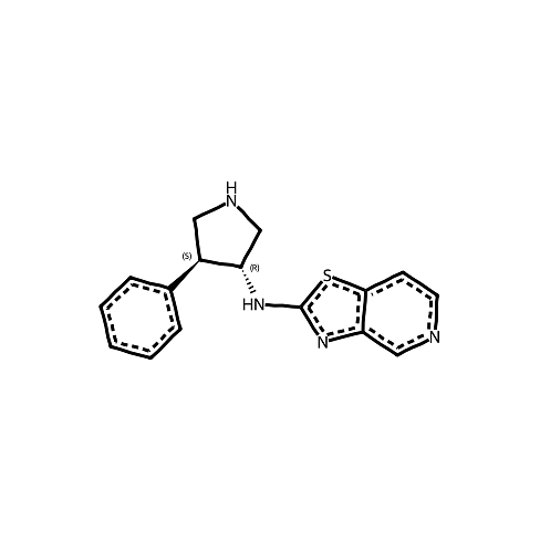 c1ccc([C@H]2CNC[C@@H]2Nc2nc3cnccc3s2)cc1